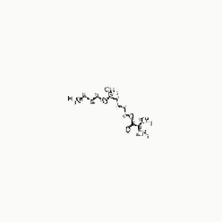 C=C(C)C(=O)OCCCCC(C)OCCCC